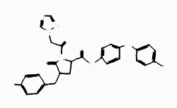 O=C(Nc1ccc(Oc2ccc(F)cc2)cc1)C1CC(Cc2ccc(F)cc2)C(=O)N1C(=O)Cn1cncn1